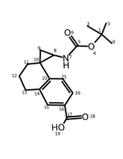 CC(C)(C)OC(=O)NC1CC12CCCc1cc(C(=O)O)ccc12